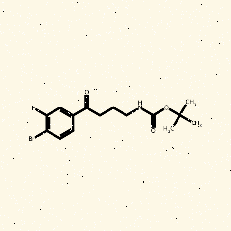 CC(C)(C)OC(=O)NCCCC(=O)c1ccc(Br)c(F)c1